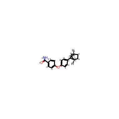 NC(=O)c1ccc(Oc2ccc(C3C[C@@H]4CC[C@H]3C4)cc2)cc1